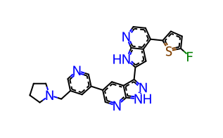 Fc1ccc(-c2ccnc3[nH]c(-c4n[nH]c5ncc(-c6cncc(CN7CCCC7)c6)cc45)cc23)s1